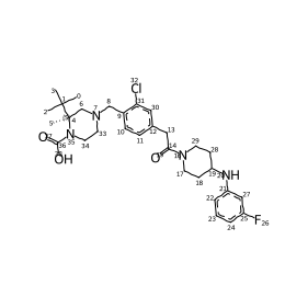 CC(C)(C)[C@@]1(C)CN(Cc2ccc(CC(=O)N3CCC(Nc4cccc(F)c4)CC3)cc2Cl)CCN1C(=O)O